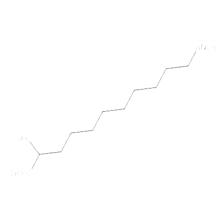 CCCCCCCCCCCCCCCCCCC(C(=O)O)C(C)C